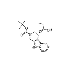 CC(C)(C)OC(=O)N1CCc2c([nH]c3ccccc23)C1.CCC(=O)O